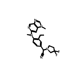 CCc1cc(C(C#N)N2CCC(F)(F)C2)ccc1N(C)c1cc2c(cn1)ncn2C